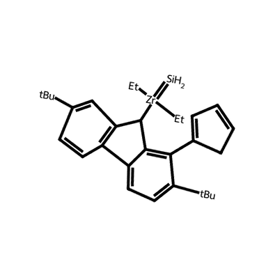 C[CH2][Zr](=[SiH2])([CH2]C)[CH]1c2cc(C(C)(C)C)ccc2-c2ccc(C(C)(C)C)c(C3=CC=CC3)c21